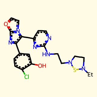 CCN1CCN(CCNc2nccc(-c3c(-c4ccc(Cl)c(O)c4)nc4occn34)n2)S1